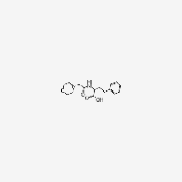 O=C(CN1CCOCC1)NC(CCc1ccccc1)C(=O)O